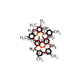 Cc1cc(C)c(P(Cc2cccc(CP(c3c(C)cc(C)cc3C)c3c(C)cc(C)cc3C)c2-c2c(CP(c3c(C)cc(C)cc3C)c3c(C)cc(C)cc3C)cccc2CP(c2c(C)cc(C)cc2C)c2c(C)cc(C)cc2C)c2c(C)cc(C)cc2C)c(C)c1